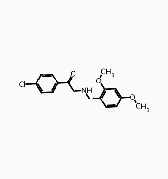 COc1ccc(CNCC(=O)c2ccc(Cl)cc2)c(OC)c1